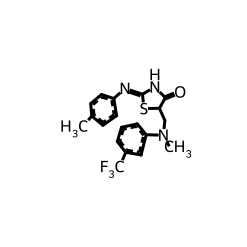 Cc1ccc(/N=C2/NC(=O)C(CN(C)c3cccc(C(F)(F)F)c3)S2)cc1